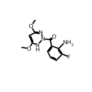 COC1=CC(OC)=NN(C(=O)c2cccc(F)c2N)N1